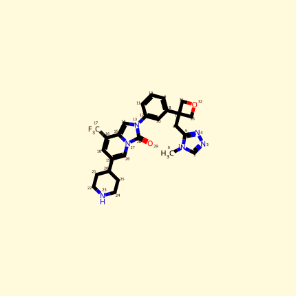 Cn1cnnc1CC1(c2cccc(-n3cc4c(C(F)(F)F)cc(C5CCNCC5)cn4c3=O)c2)COC1